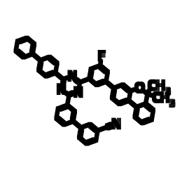 CC1(C)Oc2cc(-c3cc(F)cc(-c4nc(-c5ccc(-c6ccccc6)cc5)nc(-c5cccc(-c6cccc(C#N)c6)c5)n4)c3)ccc2-c2ccccc21